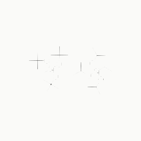 CC(C)(C)O[Si](C)(OC(C)(C)C)OC(C)(C)C.CC[Si](OC(C)C)(OC(C)C)OC(C)C